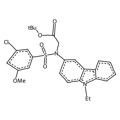 CCn1c2ccccc2c2cc(N(CC(=O)OC(C)(C)C)S(=O)(=O)c3cc(Cl)cc(OC)c3)ccc21